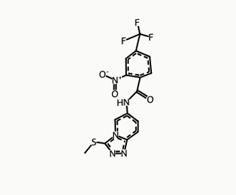 CSc1nnc2ccc(NC(=O)c3ccc(C(F)(F)F)cc3[N+](=O)[O-])cn12